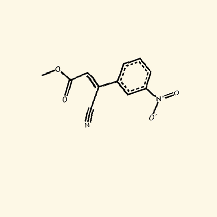 COC(=O)C=C(C#N)c1cccc([N+](=O)[O-])c1